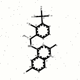 Cc1nc(N[C@H](C)c2cccc(C(F)(F)F)c2F)c2cc(I)ccc2n1